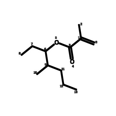 C=C(C)C(=O)OC(CC)C(C)CCC